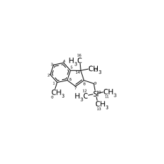 Cc1cccc2c1C=C(C[Si](C)(C)C)C2(C)C